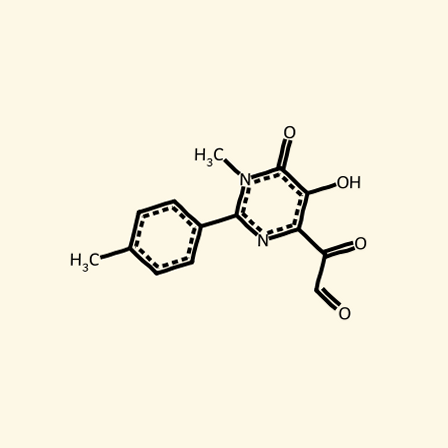 Cc1ccc(-c2nc(C(=O)C=O)c(O)c(=O)n2C)cc1